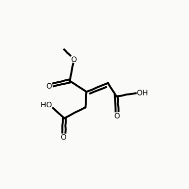 COC(=O)C(=CC(=O)O)CC(=O)O